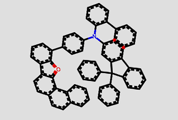 c1ccc(-c2ccccc2N(c2ccc(-c3cccc4c3oc3c4ccc4ccc5ccccc5c43)cc2)c2ccc3c(c2)C(c2ccccc2)(c2ccccc2)c2ccccc2-3)cc1